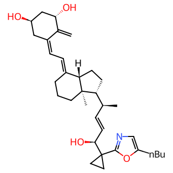 C=C1/C(=C\C=C2/CCC[C@]3(C)[C@@H]([C@@H](C)/C=C/[C@H](O)C4(c5ncc(CCCC)o5)CC4)CC[C@@H]23)C[C@@H](O)C[C@@H]1O